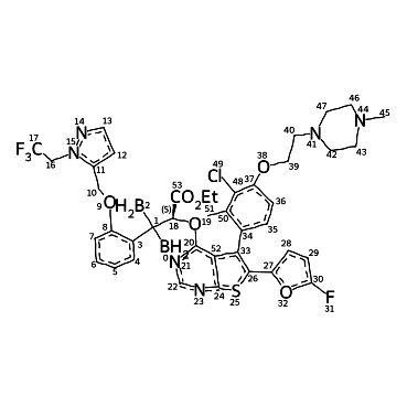 BC(B)(c1ccccc1OCc1ccnn1CC(F)(F)F)[C@H](Oc1ncnc2sc(-c3ccc(F)o3)c(-c3ccc(OCCN4CCN(C)CC4)c(Cl)c3C)c12)C(=O)OCC